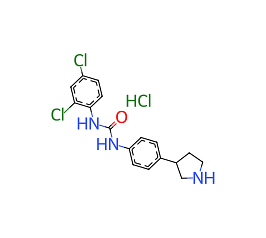 Cl.O=C(Nc1ccc(C2CCNC2)cc1)Nc1ccc(Cl)cc1Cl